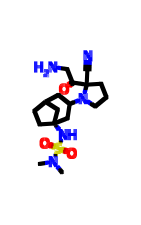 CN(C)S(=O)(=O)N[C@]12CCC(CC(N3CCCC3(C#N)C(=O)CN)C1)C2